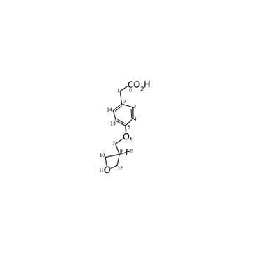 O=C(O)Cc1ccc(OCC2(F)COC2)cc1